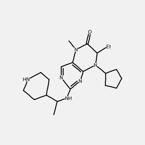 CCC1C(=O)N(C)c2cnc(NC(C)C3CCNCC3)nc2N1C1CCCC1